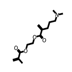 C=C(C)C(=O)OCCOC(=O)C(=C)CCCN(C)C